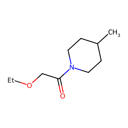 CCOCC(=O)N1CCC(C)CC1